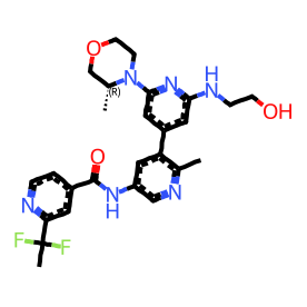 Cc1ncc(NC(=O)c2ccnc(C(C)(F)F)c2)cc1-c1cc(NCCO)nc(N2CCOC[C@H]2C)c1